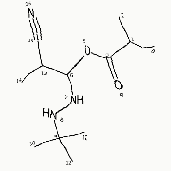 CC(C)C(=O)OC(NNC(C)(C)C)C(C)C#N